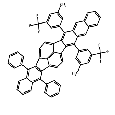 Cc1cc(-c2c3c(c(-c4cc(C)cc(C(F)(F)F)c4)c4cc5ccccc5cc24)-c2ccc4c5c(ccc-3c25)-c2c-4c(-c3ccccc3)c3ccccc3c2-c2ccccc2)cc(C(F)(F)F)c1